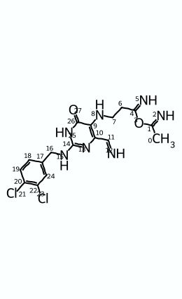 CC(=N)OC(=N)CCNc1c(C=N)nc(NCc2ccc(Cl)c(Cl)c2)[nH]c1=O